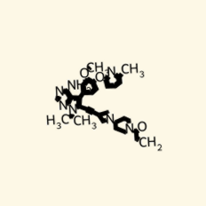 C=CC(=O)N1CCC(N2CC(C#Cc3c(-c4ccc(Oc5cccc(C)n5)c(OC)c4)c4c(N)ncnc4n3C(C)C)C2)CC1